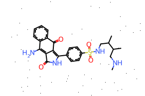 CNCC(C)C(C)CNS(=O)(=O)c1ccc(C2=C3C(=O)c4ccccc4C(N)=C3C(=O)N2)cc1